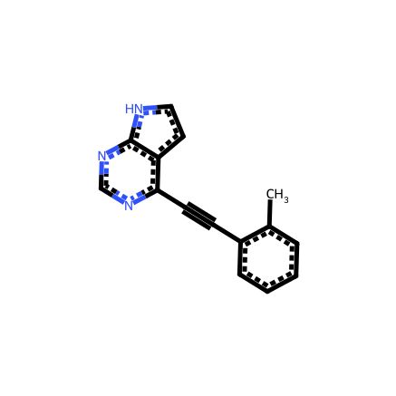 Cc1ccccc1C#Cc1ncnc2[nH]ccc12